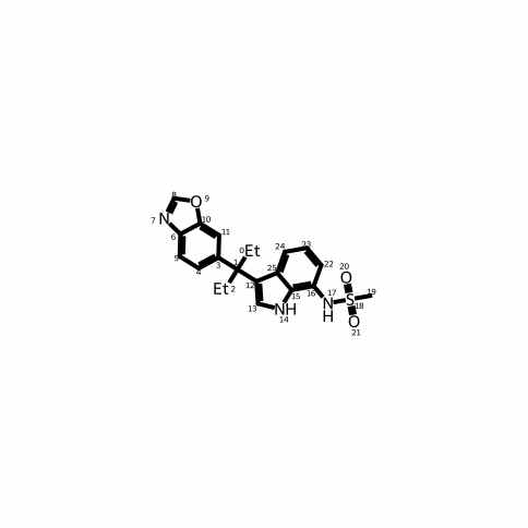 CCC(CC)(c1ccc2ncoc2c1)c1c[nH]c2c(NS(C)(=O)=O)cccc12